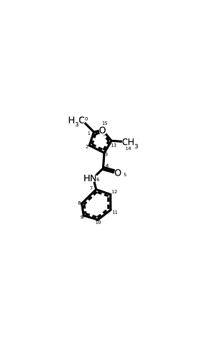 Cc1cc(C(=O)Nc2c[c]ccc2)c(C)o1